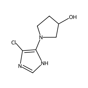 OC1CCN(c2[nH]cnc2Cl)C1